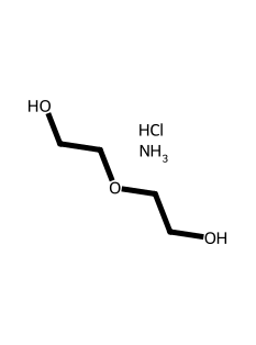 Cl.N.OCCOCCO